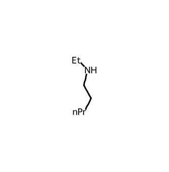 [CH2]CNCCCCC